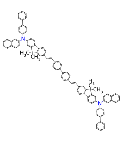 CC1(C)c2cc(/C=C/c3ccc(-c4ccc(/C=C/c5ccc6c(c5)C(C)(C)c5cc(N(c7ccc(-c8ccccc8)cc7)c7ccc8ccccc8c7)ccc5-6)cc4)cc3)ccc2-c2ccc(N(c3ccc(-c4ccccc4)cc3)c3ccc4ccccc4c3)cc21